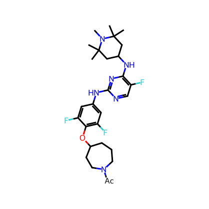 CC(=O)N1CCCC(Oc2c(F)cc(Nc3ncc(F)c(NC4CC(C)(C)N(C)C(C)(C)C4)n3)cc2F)CC1